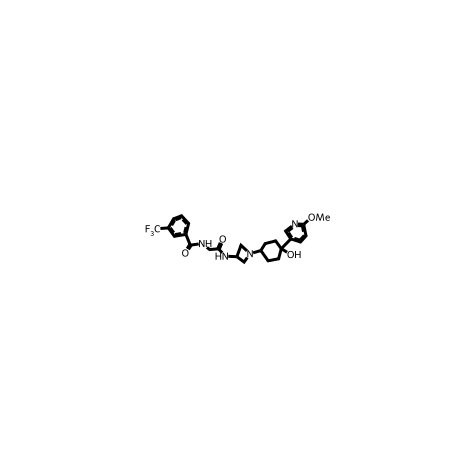 COc1ccc(C2(O)CCC(N3CC(NC(=O)CNC(=O)c4cccc(C(F)(F)F)c4)C3)CC2)cn1